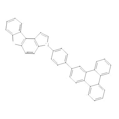 c1ccc2c(c1)sc1ccc3c(ccn3-c3ccc(-c4ccc5c6ccccc6c6ccccc6c5c4)cc3)c12